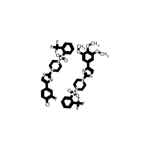 COc1cc(-c2csc(N3CCN(S(=O)(=O)c4ccccc4C(F)(F)F)CC3)n2)cc(OC)c1OC.O=S(=O)(c1ccccc1C(F)(F)F)N1CCN(c2nc(-c3ccc(Cl)c(F)c3)cs2)CC1